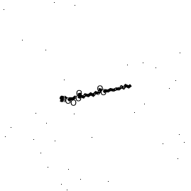 CCCCCCCCCCCOC(=O)CCCCCCCC(=O)OCC(=O)CO[Si](C)(C)C(C)(C)C